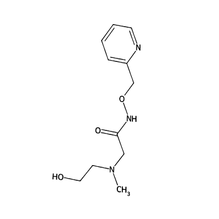 CN(CCO)CC(=O)NOCc1ccccn1